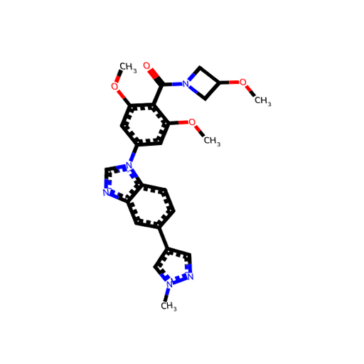 COc1cc(-n2cnc3cc(-c4cnn(C)c4)ccc32)cc(OC)c1C(=O)N1CC(OC)C1